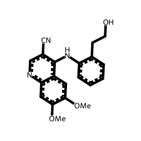 COc1cc2ncc(C#N)c(Nc3ccccc3CCO)c2cc1OC